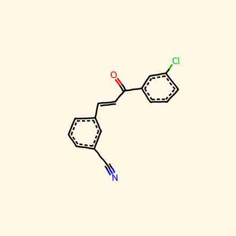 N#Cc1cccc(C=CC(=O)c2cccc(Cl)c2)c1